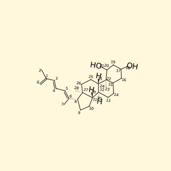 C=C(C)C=CC=C(C)[C@H]1CC[C@H]2[C@@H]3CCC4CC(O)CC(O)[C@]4(C)[C@H]3CC[C@]12C